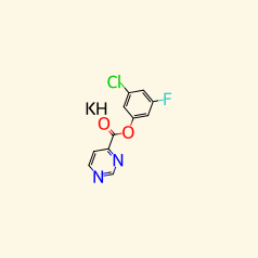 O=C(Oc1cc(F)cc(Cl)c1)c1ccncn1.[KH]